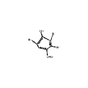 O=Cc1cc(Br)c(O)c(Br)c1Br